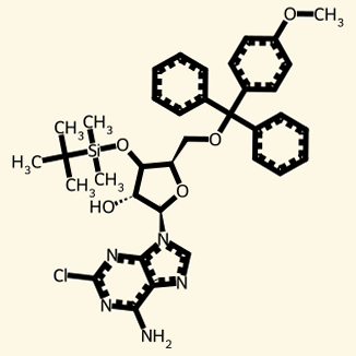 COc1ccc(C(OC[C@H]2O[C@@H](n3cnc4c(N)nc(Cl)nc43)[C@H](O)C2O[Si](C)(C)C(C)(C)C)(c2ccccc2)c2ccccc2)cc1